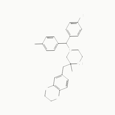 CC1(Cc2ccc3c(c2)OCCO3)CN(C(c2ccc(Cl)cc2)c2ccc(Cl)cc2)CCN1